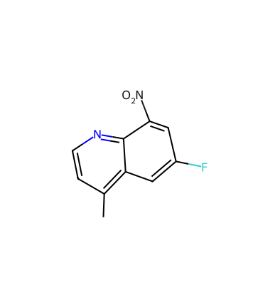 Cc1ccnc2c([N+](=O)[O-])cc(F)cc12